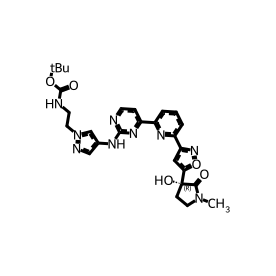 CN1CC[C@@](O)(c2cc(-c3cccc(-c4ccnc(Nc5cnn(CCNC(=O)OC(C)(C)C)c5)n4)n3)no2)C1=O